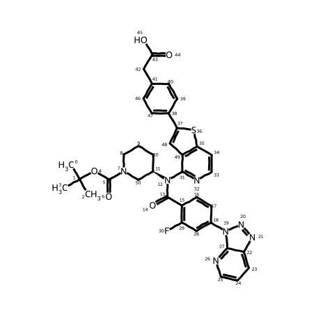 CC(C)(C)OC(=O)N1CCC[C@@H](N(C(=O)c2ccc(-n3nnc4cccnc43)cc2F)c2nccc3sc(-c4ccc(CC(=O)O)cc4)cc23)C1